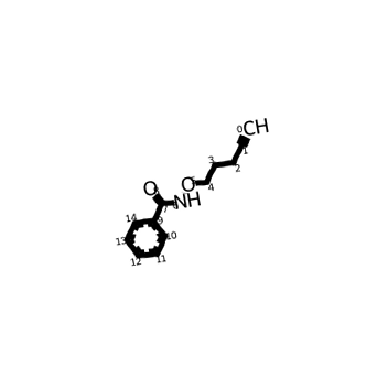 C#CCCCONC(=O)c1ccccc1